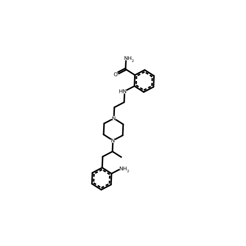 CC(Cc1ccccc1N)N1CCN(CCNc2ccccc2C(N)=O)CC1